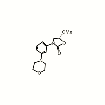 CO[C@H]1CN(c2cccc(N3CCOCC3)c2)C(=O)O1